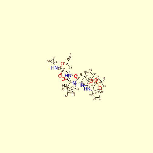 C#CCC[C@H](NC(=O)[C@@H]1[C@@H]2[C@H](CN1C(=O)[C@@H](NC(=O)NC1(CS(=O)(=O)C(C)(C)C)CCCCC1)C1(C)CCCCC1)C2(C)C)C(=O)C(=O)NC1CC1